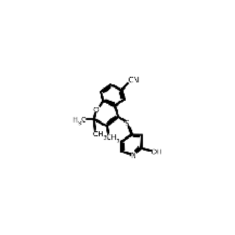 CC1=C(Sc2ccnc(O)c2)c2cc(C#N)ccc2OC1(C)C